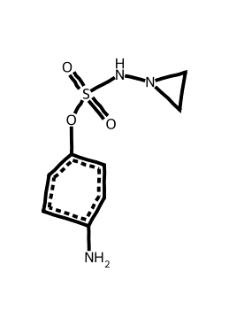 Nc1ccc(OS(=O)(=O)NN2CC2)cc1